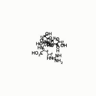 N=C(N)NCCCC(NC[C@]1(O)OC[C@@H](O)C(O[C@]2(O)COC(CO)[C@@H](O)C2O)C1O)C(=O)O